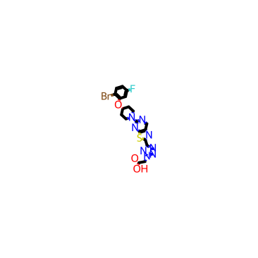 O=C(O)Cn1nnc(-c2nc3cnc(N4CCC(Oc5cc(F)ccc5Br)CC4)nc3s2)n1